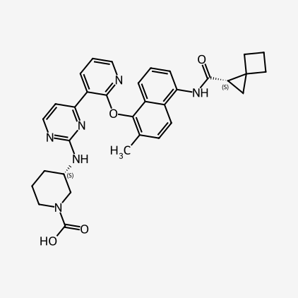 Cc1ccc2c(NC(=O)[C@H]3CC34CCC4)cccc2c1Oc1ncccc1-c1ccnc(N[C@H]2CCCN(C(=O)O)C2)n1